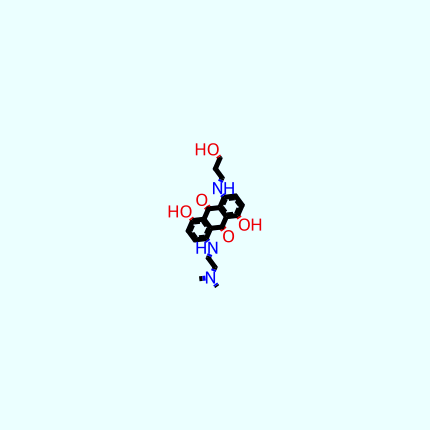 CN(C)CCNc1ccc(O)c2c1C(=O)c1c(O)ccc(NCCCO)c1C2=O